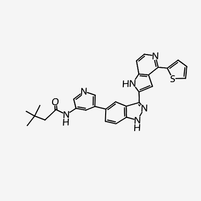 CC(C)(C)CC(=O)Nc1cncc(-c2ccc3[nH]nc(-c4cc5c(-c6cccs6)nccc5[nH]4)c3c2)c1